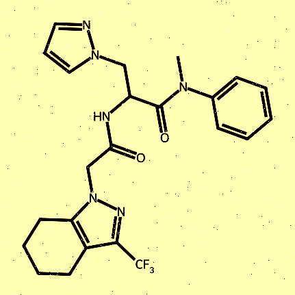 CN(C(=O)C(Cn1cccn1)NC(=O)Cn1nc(C(F)(F)F)c2c1CCCC2)c1ccccc1